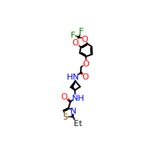 CCc1nc(C(=O)NC23CC(NC(=O)COc4ccc5c(c4)OC(F)(F)O5)(C2)C3)cs1